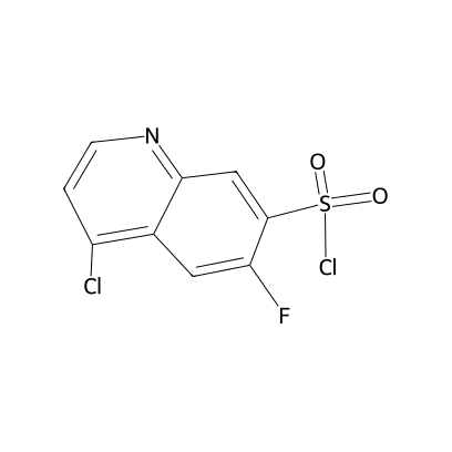 O=S(=O)(Cl)c1cc2nccc(Cl)c2cc1F